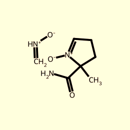 C=[NH+][O-].CC1(C(N)=O)CCC=[N+]1[O-]